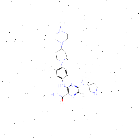 CCc1nc(C(N)=O)c(Nc2ccc(N3CCC(N4CCN(C)CC4)CC3)c(C)c2)nc1N(C)[C@@H]1CCNC1